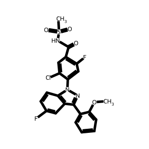 COc1ccccc1-c1nn(-c2cc(F)c(C(=O)NS(C)(=O)=O)cc2Cl)c2ccc(F)cc12